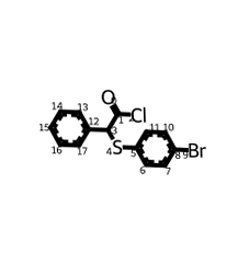 O=C(Cl)C(Sc1ccc(Br)cc1)c1ccccc1